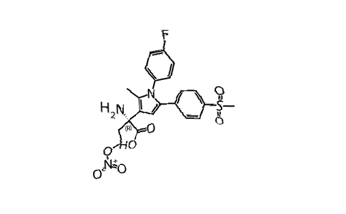 Cc1c([C@](N)(CCO[N+](=O)[O-])C(=O)O)cc(-c2ccc(S(C)(=O)=O)cc2)n1-c1ccc(F)cc1